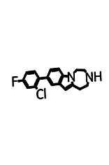 Fc1ccc(-c2ccc3c(c2)cc2n3CCNCC2)c(Cl)c1